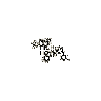 Cc1cccc(CN2CCO[C@H](C(=O)N[C@@H](Cc3ccc(F)cc3)[C@@H](O)CN[C@H]3CC4(CCC4)Oc4ncc(CC(C)(C)C)cc43)C2)c1